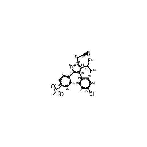 CS(=O)(=O)c1ccc(-c2nn(CC#N)c(C(F)F)c2-c2ccc(Cl)cc2)cc1